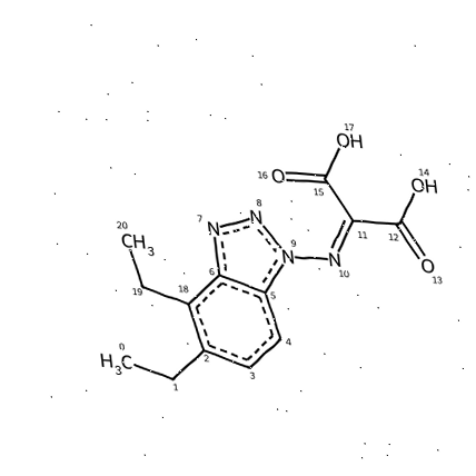 CCc1ccc2c(nnn2N=C(C(=O)O)C(=O)O)c1CC